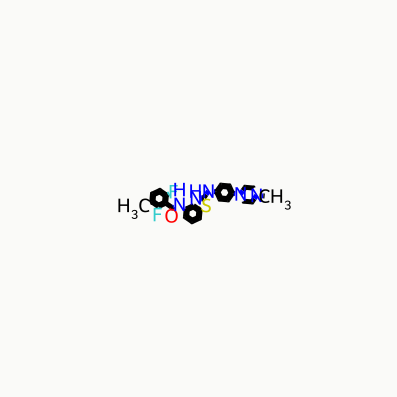 Cc1ccc(F)c(C(=O)Nc2cccc3sc(Nc4ccc(N5CCN(C)CC5)cc4)nc23)c1F